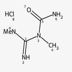 CNC(=N)N(C)C(N)=O.Cl